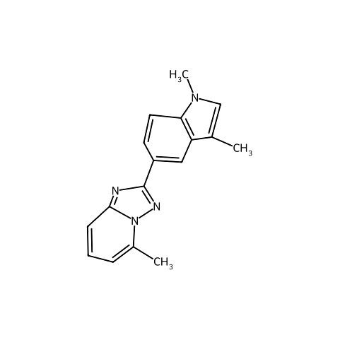 Cc1cn(C)c2ccc(-c3nc4cccc(C)n4n3)cc12